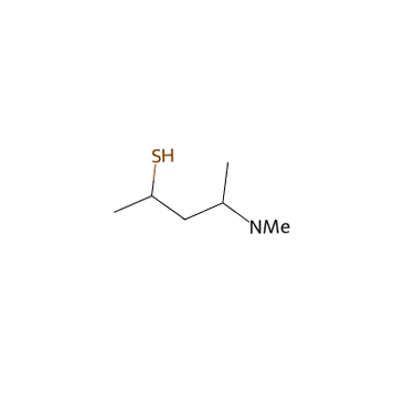 CNC(C)CC(C)S